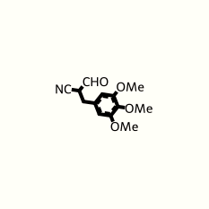 COc1cc(CC(C#N)C=O)cc(OC)c1OC